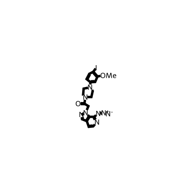 COc1cc(N2CCN(C(=O)Cn3ncc4ccnc(N=[N+]=[N-])c43)CC2)ccc1I